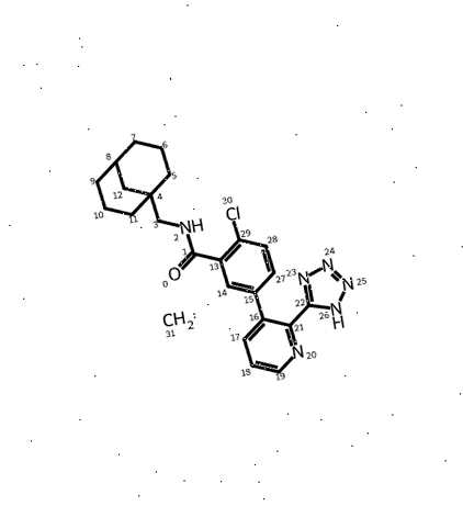 O=C(NCC12CCCC(CCC1)C2)c1cc(-c2cccnc2-c2nnn[nH]2)ccc1Cl.[CH2]